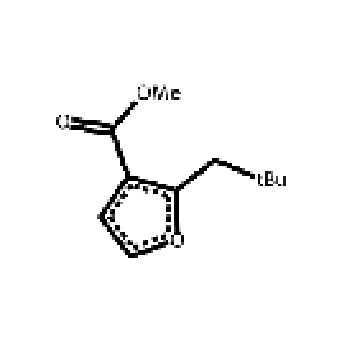 [CH2]OC(=O)c1ccoc1CC(C)(C)C